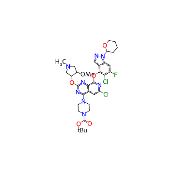 CO[C@@H]1CN(C)C[C@H]1Oc1nc(N2CCN(C(=O)OC(C)(C)C)CC2)c2cc(Cl)nc(Oc3c(Cl)c(F)cc4c3cnn4C3CCCCO3)c2n1